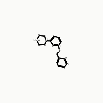 c1ccc(CSc2cccc(N3CCNCC3)c2)cc1